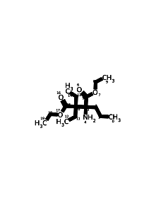 CCCC(N)(C(=O)OCC)C(CC)(CC)C(=O)OCC